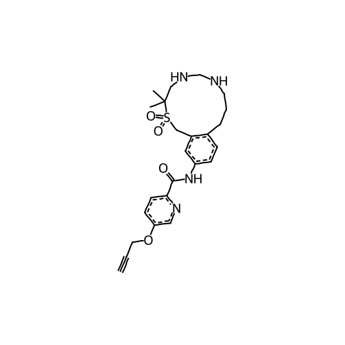 C#CCOc1ccc(C(=O)Nc2ccc3c(c2)CS(=O)(=O)C(C)(C)CNCNCCC3)nc1